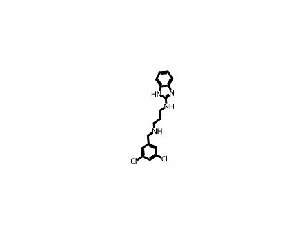 Clc1cc(Cl)cc(CNCCCNc2nc3ccccc3[nH]2)c1